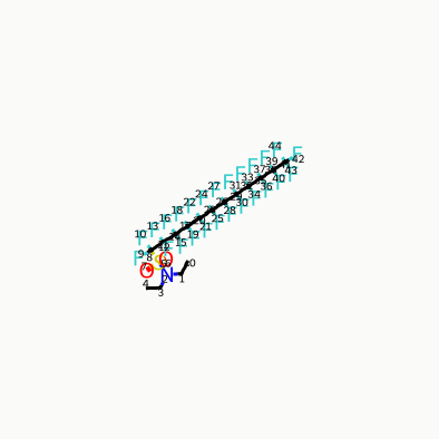 [CH2]CN(CC)S(=O)(=O)C(F)(F)C(F)(F)C(F)(F)C(F)(F)C(F)(F)C(F)(F)C(F)(F)C(F)(F)C(F)(F)C(F)(F)C(F)(F)C(F)(F)F